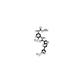 Cc1ncc(NC(=O)OC(C)(C)C)cc1NC(=O)c1cnn2cc(-c3cnn(C)c3)sc12